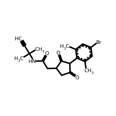 C#CC(C)(C)NC(=O)CC1CC(=O)C(c2c(C)cc(Br)cc2C)C1=O